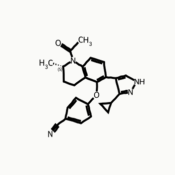 CC(=O)N1c2ccc(-c3c[nH]nc3C3CC3)c(Oc3ccc(C#N)cc3)c2CC[C@@H]1C